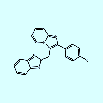 Clc1ccc(-c2nc3ccccn3c2Cn2nc3ccccc3n2)cc1